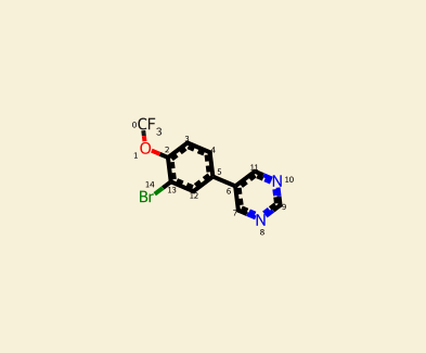 FC(F)(F)Oc1ccc(-c2cncnc2)cc1Br